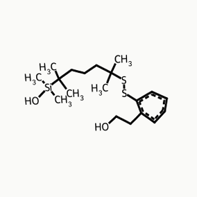 CC(C)(CCCC(C)(C)[Si](C)(C)O)SSc1ccccc1CCO